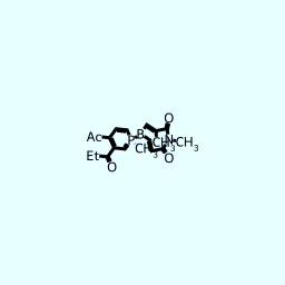 CCC(=O)C1=C(C(C)=O)C=CP(C)(B2/C=C/C(=O)N(C)C(=O)/C(C)=C/2)=C1